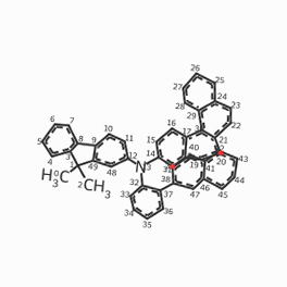 CC1(C)c2ccccc2-c2ccc(N(c3ccc4c(ccc5ccc6ccccc6c54)c3)c3ccccc3-c3ccc4ccccc4c3)cc21